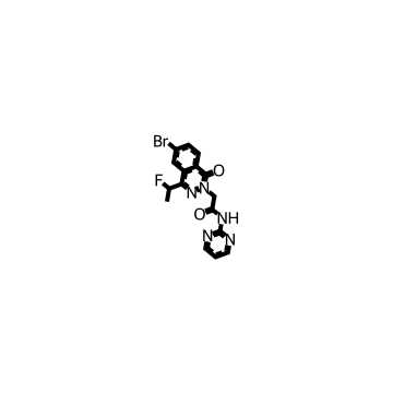 CC(F)c1nn(CC(=O)Nc2ncccn2)c(=O)c2ccc(Br)cc12